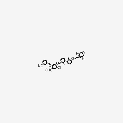 Cc1c(COc2cc(OCc3cccc(C#N)c3)c(C=O)cc2Cl)cccc1-c1cccc(OCCCN2[C@@H]3CC[C@H]2COC3)c1C